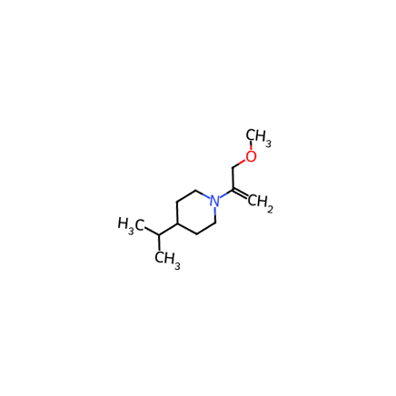 C=C(COC)N1CCC(C(C)C)CC1